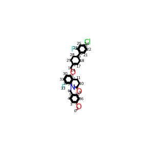 COc1ccc(CN2C(=O)CCc3c(OCC4=CCC(c5ccc(Cl)cc5F)CC4)ccc(F)c32)cc1